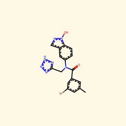 Cc1cc(Br)cc(C(=O)N(Cc2nn[nH]n2)c2ccc3c(cnn3O)c2)c1